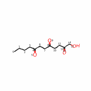 CCCCC(=O)CCC(=O)CCC(=O)CO